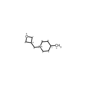 CC1CCN(CC2COC2)CC1